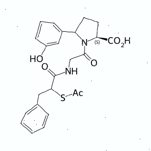 CC(=O)SC(Cc1ccccc1)C(=O)NCC(=O)N1C(c2cccc(O)c2)CC[C@H]1C(=O)O